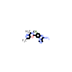 CC(c1ccc(C(F)(F)F)nn1)N(C)C(=O)c1cc2c(cc1F)nc(N)c1cncn12